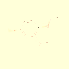 [CH2]C(C)c1cc(Br)ccc1OCC